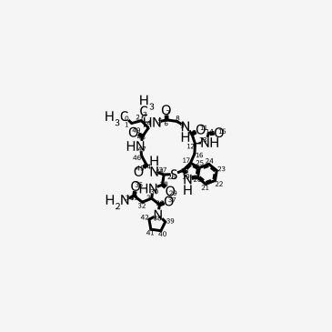 CC[C@H](C)C1NC(=O)CNC(=O)[C@@H](NC=O)Cc2c([nH]c3ccccc23)SC(C(=O)NC(CC(N)=O)C(=O)N2CCCC2)NC(=O)CNC1=O